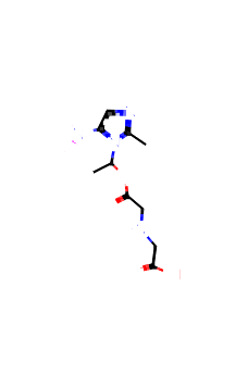 Cc1ncc([N+](=O)[O-])n1C(C)OC(=O)CNCC(=O)O